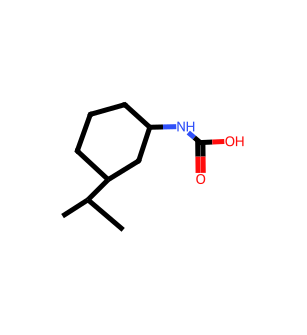 CC(C)C1CCCC(NC(=O)O)C1